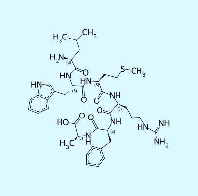 CSCC[C@H](NC(=O)[C@H](Cc1c[nH]c2ccccc12)NC(=O)[C@@H](N)CC(C)C)C(=O)N[C@@H](CCCNC(=N)N)C(=O)N[C@@H](Cc1ccccc1)C(=O)N[C@@H](C)C(=O)O